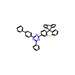 c1ccc(-c2ccc(-c3nc(-c4ccccc4)nc(-c4ccc5c(c4)Sc4ccccc4C54c5ccccc5-c5ccccc54)n3)cc2)cc1